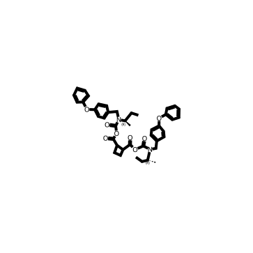 CC[C@@H](C)N(Cc1ccc(Oc2ccccc2)cc1)C(=O)OC(=O)C1CCC1C(=O)OC(=O)N(Cc1ccc(Oc2ccccc2)cc1)[C@H](C)CC